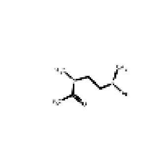 CC(=O)N(C)CCN(C)C(=O)C(F)(F)F